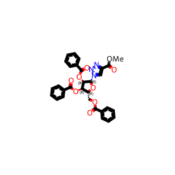 COC(=O)c1cn([C@@H]2O[C@H](COC(=O)c3ccccc3)[C@@H](OC(=O)c3ccccc3)[C@H]2OC(=O)c2ccccc2)nn1